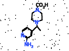 CC(c1ccnc(N)c1)N1CCN(C(=O)O)CC1